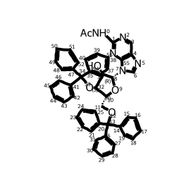 CC(=O)Nc1ncc2ncn([C@@H]3O[C@H](COC(c4ccccc4)(c4ccccc4)c4ccccc4)[C@@H](OC(c4ccccc4)(c4ccccc4)c4ccccc4)[C@H]3O)c2n1